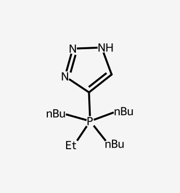 CCCCP(CC)(CCCC)(CCCC)c1c[nH]nn1